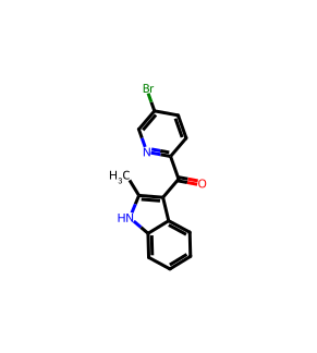 Cc1[nH]c2ccccc2c1C(=O)c1ccc(Br)cn1